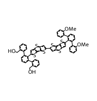 COc1ccccc1-c1cccc(-c2ccccc2OC)c1-c1cc2sc3cc(-c4cc5sc6cc(-c7c(-c8ccccc8CO)cccc7-c7ccccc7CO)sc6c5s4)sc3c2s1